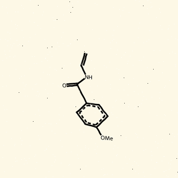 C=CNC(=O)c1ccc(OC)cc1